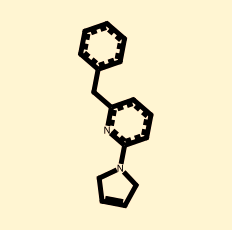 C1=CCN(c2cccc(Cc3ccccc3)n2)C1